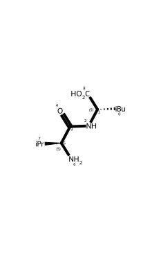 CCC(C)[C@H](NC(=O)[C@@H](N)C(C)C)C(=O)O